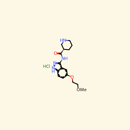 COCCOc1ccc2[nH]nc(NC(=O)[C@@H]3CCCNC3)c2c1.Cl